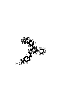 CC(C)(O)C1CCN(Cc2cnc3c(-c4cncc(NS(C)(=O)=O)c4)nc(N4CCOCC4)cn23)CC1